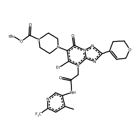 CCc1c(N2CCN(C(=O)OC(C)(C)C)CC2)c(=O)n2nc(C3=CCOCC3)nc2n1CC(=O)Nc1cnc(C(F)(F)F)cc1C